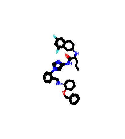 CCCC(N[C@H]1CCc2cc(F)cc(F)c2C1)C(=O)Nc1cn(-c2ccccc2CN[C@@H]2CCCC[C@H]2OCc2ccccc2)cn1